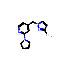 Cc1ccn(Cc2ccnc(N3CCCC3)c2)n1